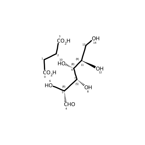 O=C(O)CCC(=O)O.O=C[C@H](O)[C@@H](O)[C@H](O)[C@H](O)CO